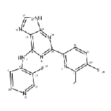 Cc1nc(-c2nc(Nc3ccncc3F)c3nc[nH]c3n2)ccc1F